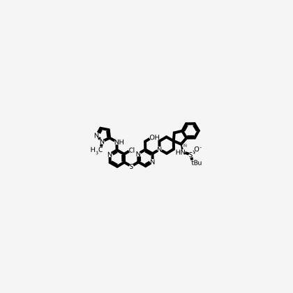 Cn1nccc1Nc1nccc(Sc2cnc(N3CCC4(CC3)Cc3ccccc3[C@H]4N[S+]([O-])C(C)(C)C)c(CO)n2)c1Cl